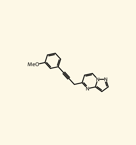 COc1cccc(C#CCc2ccn3nccc3n2)c1